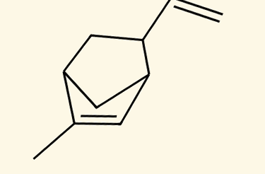 C=CC1CC2CC1C=C2C